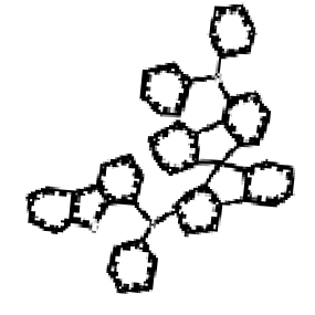 c1ccc(N(c2ccccc2)c2cccc3c2-c2ccccc2C32c3ccccc3-c3ccc(N(c4ccccc4)c4cccc5c4oc4ccccc45)cc32)cc1